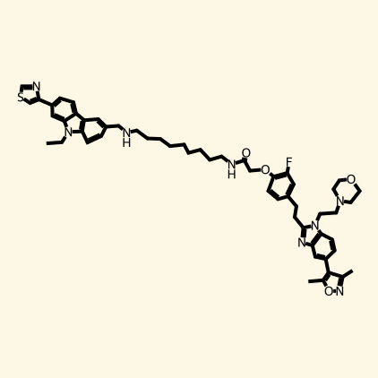 CCn1c2ccc(CNCCCCCCCCCNC(=O)COc3ccc(CCc4nc5cc(-c6c(C)noc6C)ccc5n4CCN4CCOCC4)cc3F)cc2c2ccc(-c3cscn3)cc21